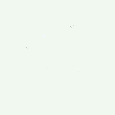 CNC(=O)/C(=C/c1cncc(-c2ccc(C(C)(C)C)cc2)c1)SC=O